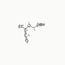 CCCCCOC(=C=O)CC